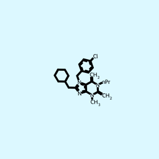 C=C1c2c(nc(CC3CCCCC3)n2Cc2ccc(Cl)cc2)N(C)C(=C)N1CCC